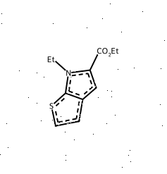 CCOC(=O)c1cc2ccsc2n1CC